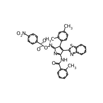 Cc1ccc(C2=C(c3nc4ccccc4s3)C(NC(=O)c3ccccc3C)=N/C2=N\OS(=O)(=O)c2ccc([N+](=O)[O-])cc2)c(C)c1